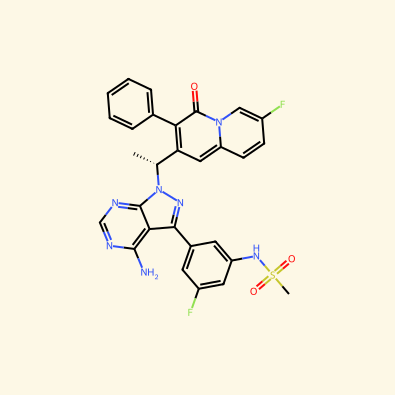 C[C@H](c1cc2ccc(F)cn2c(=O)c1-c1ccccc1)n1nc(-c2cc(F)cc(NS(C)(=O)=O)c2)c2c(N)ncnc21